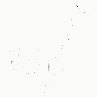 CCCC(=O)Nc1ccc(C=O)cc1.NC1CCCCC1.NCCCC[C@H](N)C(=O)O.O=C1CCC(=O)O1